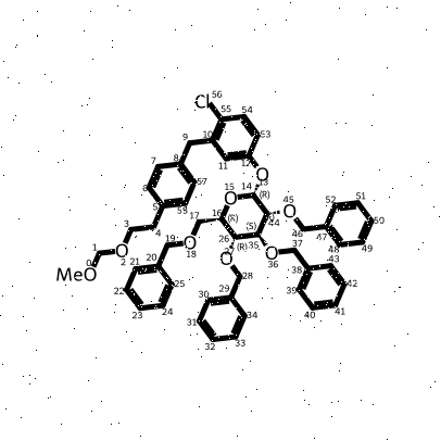 COCOCCc1ccc(Cc2cc(O[C@H]3O[C@H](COCc4ccccc4)[C@@H](OCc4ccccc4)[C@H](OCc4ccccc4)[C@H]3OCc3ccccc3)ccc2Cl)cc1